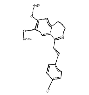 CCCCCCOc1cc2c(cc1OCCCCCC)C(C=Cc1ccc(Cl)cc1)=NCC2